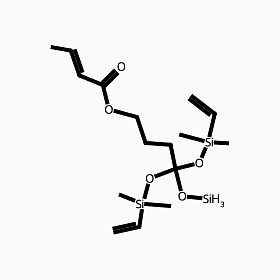 C=C[Si](C)(C)OC(CCCOC(=O)C=CC)(O[SiH3])O[Si](C)(C)C=C